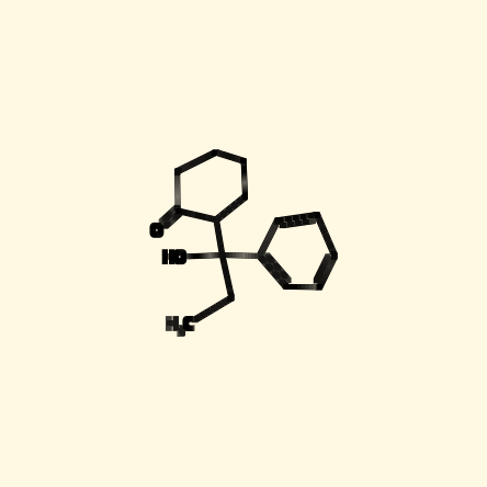 CCC(O)(c1ccccc1)C1CCCCC1=O